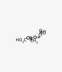 Cn1c(-c2ccc([C@H]3CC34CCN(C(=O)C3CCCO3)CC4)cc2)cc2ccc(C(=O)O)cc21